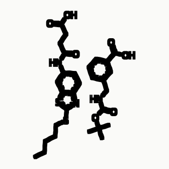 CC(C)(C)OC(=O)NCc1cccc(C(=O)O)c1.CCCCCSc1nc2ccc(NC(=O)CCC(=O)O)cc2s1